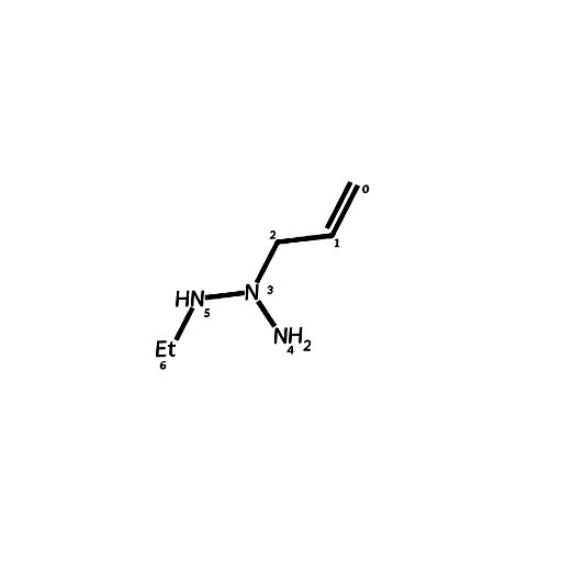 C=CCN(N)NCC